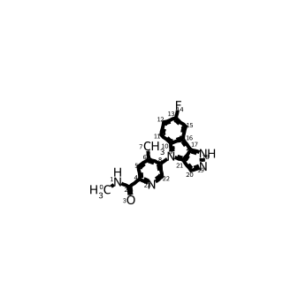 CNC(=O)c1cc(C)c(-n2c3ccc(F)cc3c3[nH]ncc32)cn1